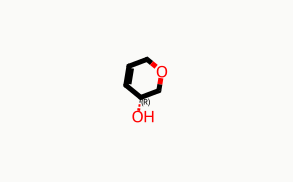 O[C@@H]1C=CCOC1